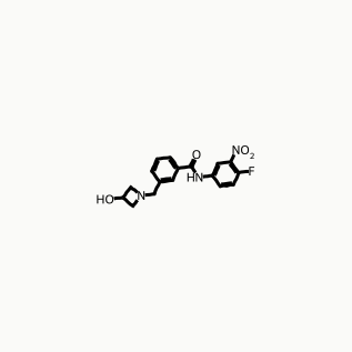 O=C(Nc1ccc(F)c([N+](=O)[O-])c1)c1cccc(CN2CC(O)C2)c1